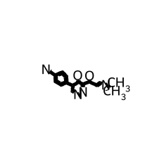 CN(C)C=CC(=O)C1=NN=CC(c2ccc(C#N)cc2)C1=O